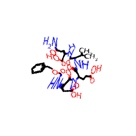 CC(C)C(NC(=O)C(CCC(=O)O)NC(=O)C(CC(=O)O)NC(=O)OCc1ccccc1)C(=O)NC(CC(N)=O)C(=O)O